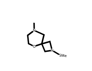 CSN1CC2(CN(C)CCO2)C1